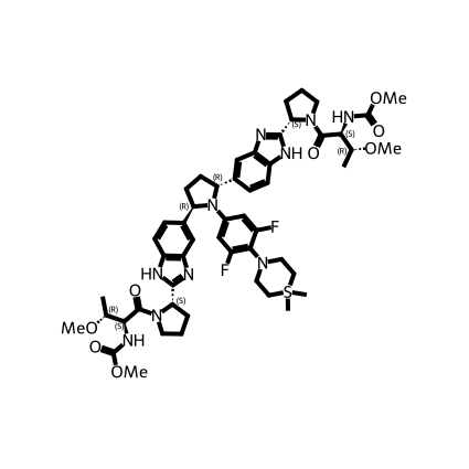 COC(=O)N[C@H](C(=O)N1CCC[C@H]1c1nc2cc([C@H]3CC[C@H](c4ccc5[nH]c([C@@H]6CCCN6C(=O)[C@@H](NC(=O)OC)[C@@H](C)OC)nc5c4)N3c3cc(F)c(N4CCS(C)(C)CC4)c(F)c3)ccc2[nH]1)[C@@H](C)OC